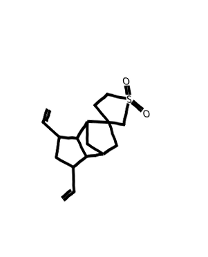 C=CC1CC(C=C)C2C1C1CC2C2(CCS(=O)(=O)C2)C1